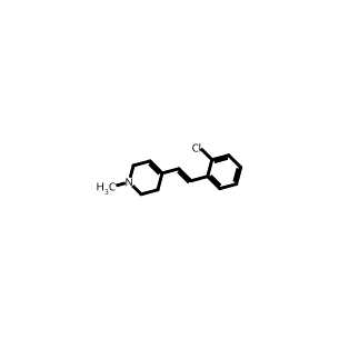 CN1CC=C(C=Cc2ccccc2Cl)CC1